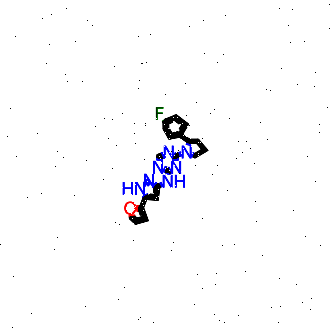 Fc1ccc(C2CCCN2c2ncnc(Nc3cc(-c4ccco4)[nH]n3)n2)cc1